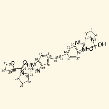 O=C(O)N1CCC[C@H]1c1nc2cc(C#Cc3ccc4[nH]c([C@@H]5CCCN5C(=O)[C@H]5CCCO5)nc4c3)ccc2[nH]1